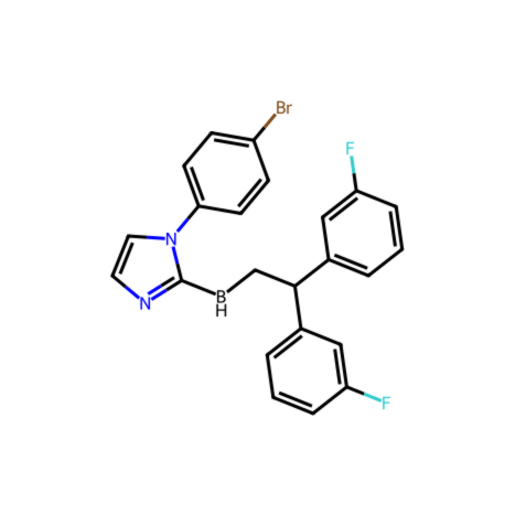 Fc1cccc(C(CBc2nccn2-c2ccc(Br)cc2)c2cccc(F)c2)c1